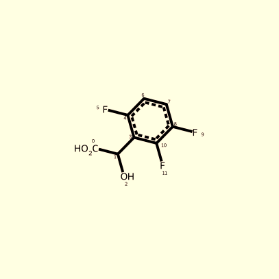 O=C(O)C(O)c1c(F)ccc(F)c1F